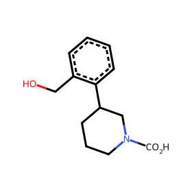 O=C(O)N1CCCC(c2ccccc2CO)C1